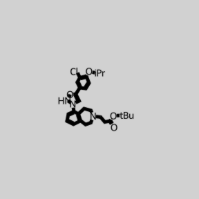 CC(C)Oc1ccc(C2=CN(c3cccc4c3CCN(CCC(=O)OC(C)(C)C)CC4)NO2)cc1Cl